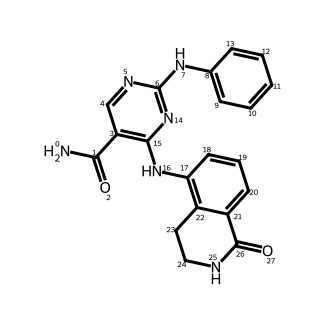 NC(=O)c1cnc(Nc2ccccc2)nc1Nc1cccc2c1CCNC2=O